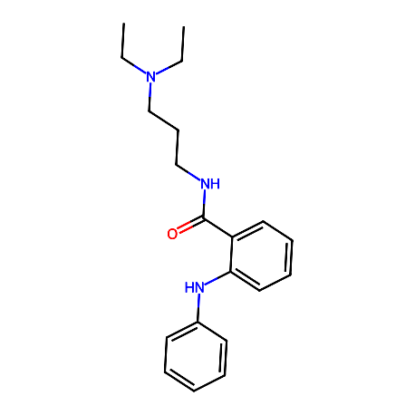 CCN(CC)CCCNC(=O)c1ccccc1Nc1ccccc1